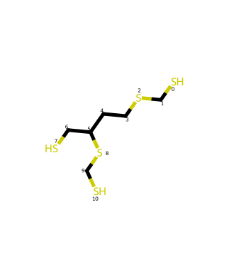 SCSCCC(CS)SCS